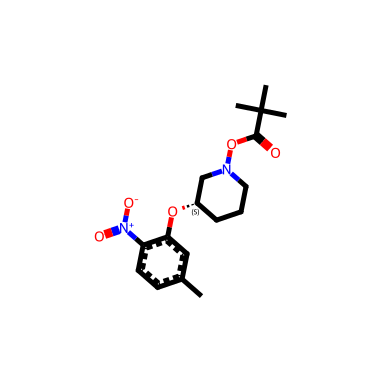 Cc1ccc([N+](=O)[O-])c(O[C@H]2CCCN(OC(=O)C(C)(C)C)C2)c1